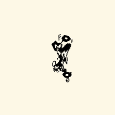 COc1ccc(CNc2nn3ccc(N4CCC[C@H]4c4cc(F)ccc4F)nc3c2C(N)=O)cc1